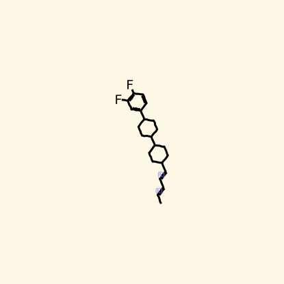 C/C=C/C=C/C1CCC(C2CCC(c3ccc(F)c(F)c3)CC2)CC1